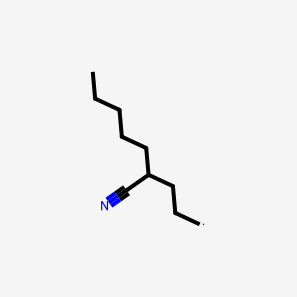 [CH2]CCC(C#N)CCCCC